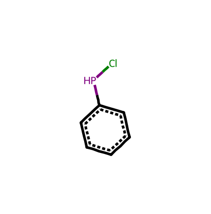 ClPc1ccccc1